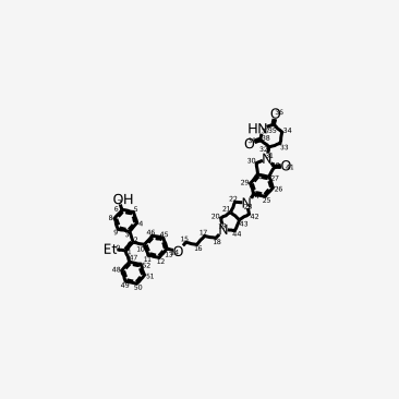 CC/C(=C(\c1ccc(O)cc1)c1ccc(OCCCCN2CC3CN(c4ccc5c(c4)CN(C4CCC(=O)NC4=O)C5=O)CC3C2)cc1)c1ccccc1